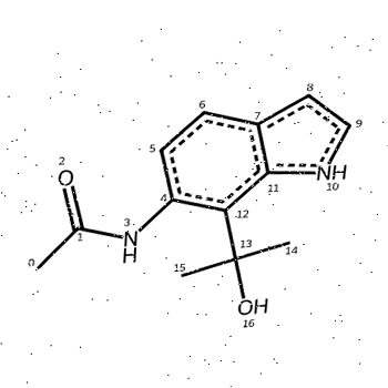 CC(=O)Nc1ccc2cc[nH]c2c1C(C)(C)O